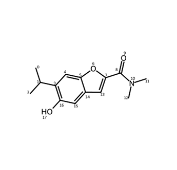 CC(C)c1cc2oc(C(=O)N(C)C)cc2cc1O